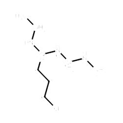 C[SiH2]N[SiH](CCCCl)N[SiH2]N[SiH3]